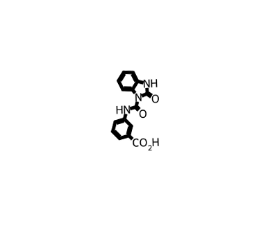 O=C(O)c1cccc(NC(=O)n2c(=O)[nH]c3ccccc32)c1